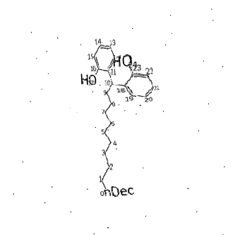 CCCCCCCCCCCCCCCCCCCC(c1ccccc1O)c1ccccc1O